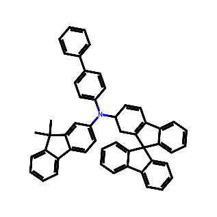 CC1(C)c2ccccc2-c2ccc(N(c3ccc(-c4ccccc4)cc3)C3C=CC4=C(C3)C3(c5ccccc54)c4ccccc4-c4ccccc43)cc21